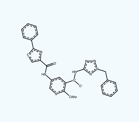 COc1ncc(NC(=O)c2csc(-c3ccccc3)n2)cc1[S+]([O-])Nc1nnn(Cc2ccccc2)n1